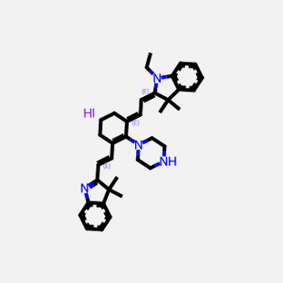 CCN1/C(=C/C=C2\CCCC(/C=C/C3=Nc4ccccc4C3(C)C)=C2N2CCNCC2)C(C)(C)c2ccccc21.I